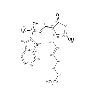 C[C@@](O)(C=C[C@H]1C(=O)C[C@H](O)[C@@H]1CC=CCCCC(=O)O)c1cc2ccccc2s1